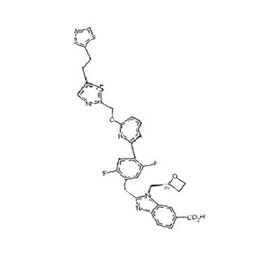 O=C(O)c1ccc2nc(Cc3cc(F)c(-c4cccc(OCc5ncc(CCc6cncs6)s5)n4)cc3F)n(C[C@@H]3CCO3)c2c1